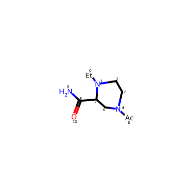 CCN1CCN(C(C)=O)CC1C(N)=O